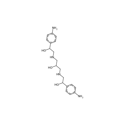 Nc1ccc(C(O)CNCC(O)CNCC(O)c2ccc(N)cc2)cc1